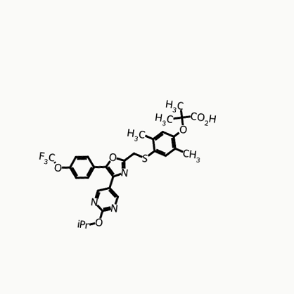 Cc1cc(SCc2nc(-c3cnc(OC(C)C)nc3)c(-c3ccc(OC(F)(F)F)cc3)o2)c(C)cc1OC(C)(C)C(=O)O